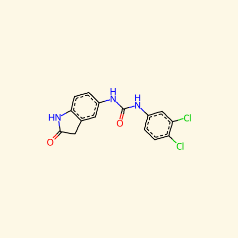 O=C1Cc2cc(NC(=O)Nc3ccc(Cl)c(Cl)c3)ccc2N1